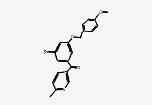 COc1ccc(COc2cc(Br)cc(C(=O)c3ccc(C)nc3)c2)cc1